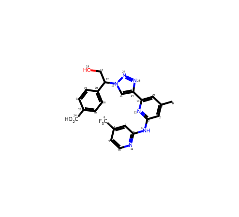 Cc1cc(Nc2cc(C(F)(F)F)ccn2)nc(-c2cn(C(CO)c3ccc(C(=O)O)cc3)nn2)c1